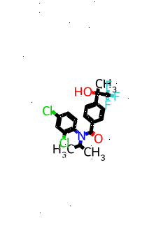 CC(C)N(C(=O)c1ccc(C(C)(O)C(F)(F)F)cc1)c1ccc(Cl)cc1Cl